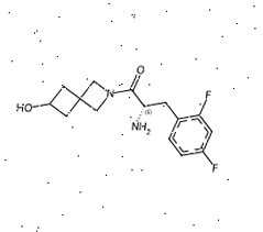 N[C@@H](Cc1ccc(F)cc1F)C(=O)N1CC2(CC(O)C2)C1